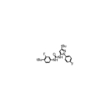 CC(C)(C)c1cc(NC(=O)Nc2ccc(C(C)(C)C)c(F)c2)n(-c2ccc(F)cc2)n1